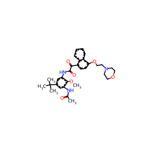 COc1c(NC(C)=O)cc(C(C)(C)C)cc1NC(=O)C(=O)c1ccc(OCCN2CCOCC2)c2ccccc12